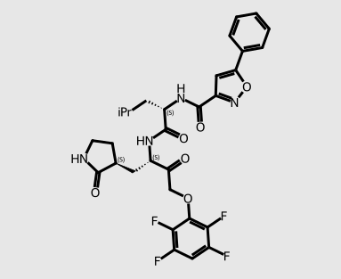 CC(C)C[C@H](NC(=O)c1cc(-c2ccccc2)on1)C(=O)N[C@@H](C[C@@H]1CCNC1=O)C(=O)COc1c(F)c(F)cc(F)c1F